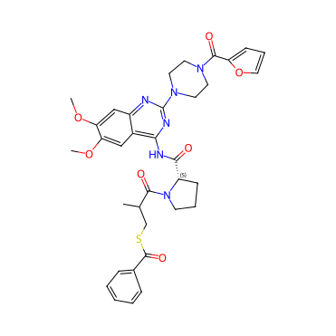 COc1cc2nc(N3CCN(C(=O)c4ccco4)CC3)nc(NC(=O)[C@@H]3CCCN3C(=O)C(C)CSC(=O)c3ccccc3)c2cc1OC